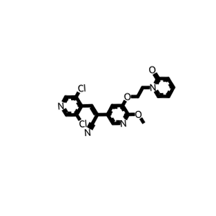 COc1ncc(C(C#N)=Cc2c(Cl)cncc2Cl)cc1OCCn1ccccc1=O